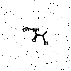 CC[CH]NC(=O)C(C)CC